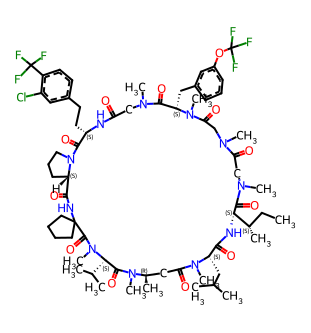 CC[C@H](C)[C@@H]1NC(=O)[C@H](CC(C)C)N(C)C(=O)C[C@@H](C)N(C)C(=O)[C@H](C(C)C)N(C)C(=O)C2(CCCC2)NC(=O)[C@@H]2CCCN2C(=O)[C@H](CCc2ccc(C(F)(F)F)c(Cl)c2)NC(=O)CN(C)C(=O)[C@H](Cc2cccc(OC(F)(F)F)c2)N(C)C(=O)CN(C)C(=O)CN(C)C1=O